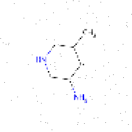 CC1[CH]C(N)CNC1